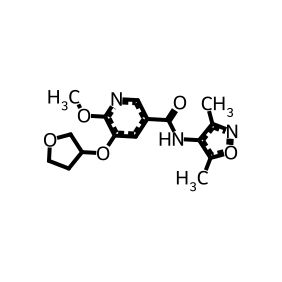 COc1ncc(C(=O)Nc2c(C)noc2C)cc1OC1CCOC1